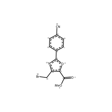 COC(=O)c1oc(-c2ccc(C#N)cc2)nc1CBr